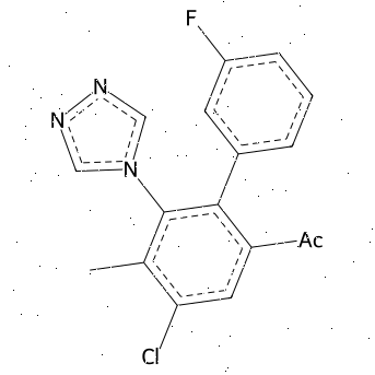 CC(=O)c1cc(Cl)c(C)c(-n2cnnc2)c1-c1cccc(F)c1